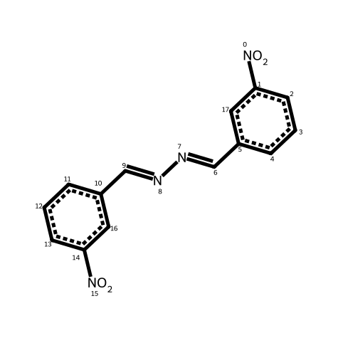 O=[N+]([O-])c1cccc(C=NN=Cc2cccc([N+](=O)[O-])c2)c1